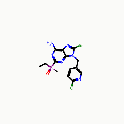 CC[P@@](C)(=O)c1nc(N)c2nc(Br)n(Cc3ccc(Cl)nc3)c2n1